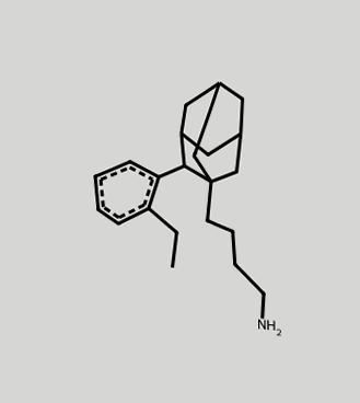 CCc1ccccc1C1C2CC3CC(C2)CC1(CCCCN)C3